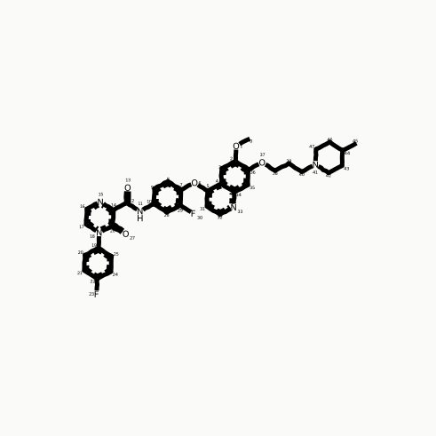 COc1cc2c(Oc3ccc(NC(=O)c4nccn(-c5ccc(F)cc5)c4=O)cc3F)ccnc2cc1OCCCN1CCC(C)CC1